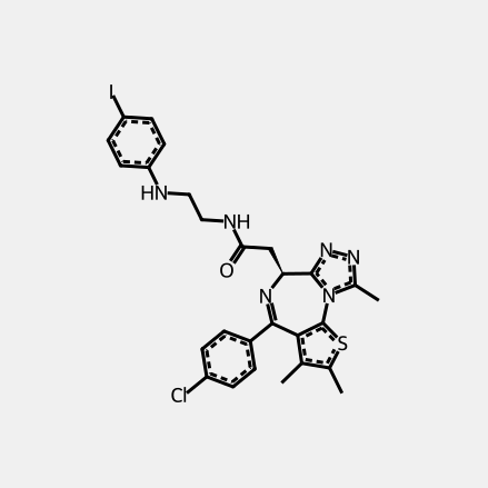 Cc1sc2c(c1C)C(c1ccc(Cl)cc1)=N[C@@H](CC(=O)NCCNc1ccc(I)cc1)c1nnc(C)n1-2